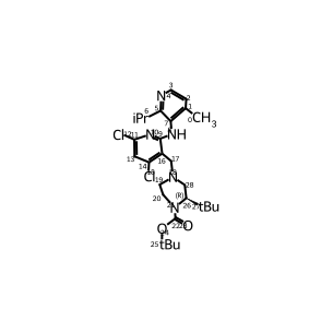 Cc1ccnc(C(C)C)c1Nc1nc(Cl)cc(Cl)c1CN1CCN(C(=O)OC(C)(C)C)[C@H](C(C)(C)C)C1